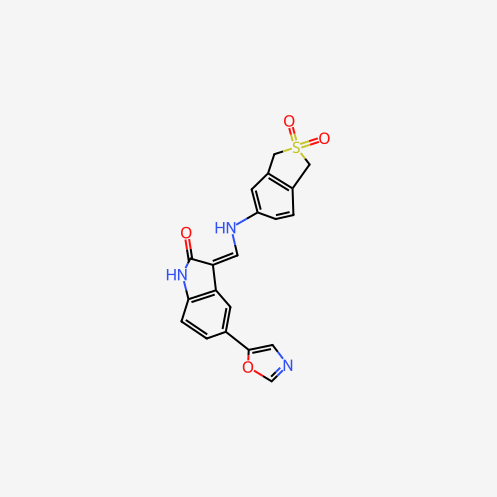 O=C1Nc2ccc(-c3cnco3)cc2/C1=C/Nc1ccc2c(c1)CS(=O)(=O)C2